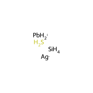 S.[Ag].[PbH2].[SiH4]